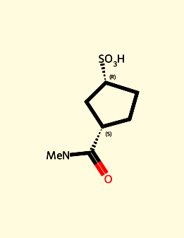 CNC(=O)[C@H]1CC[C@@H](S(=O)(=O)O)C1